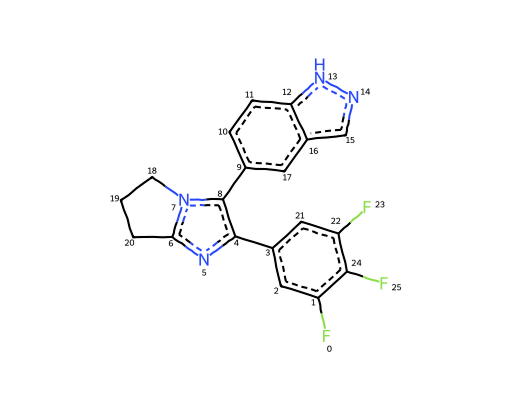 Fc1cc(-c2nc3n(c2-c2ccc4[nH]ncc4c2)CCC3)cc(F)c1F